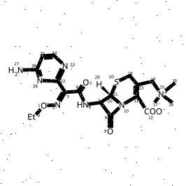 CCON=C(C(=O)NC1C(=O)N2C(C(=O)[O-])=C(C[N+](C)(C)C)CS[C@@H]12)c1nccc(N)n1